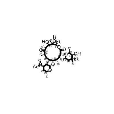 CC[C@H]1OC(=O)[C@H](C)[C@@H](O[C@H]2C[C@@](C)(CC)[C@@H](O)[C@H](C)O2)[C@H](C)[C@@H](O[C@H]2C[C@@H](N(C)C(C)=O)C[C@@H](C)O2)[C@@H](C)C[C@@H](C)C(=O)[C@H](C)[C@@H](O)[C@]1(C)O